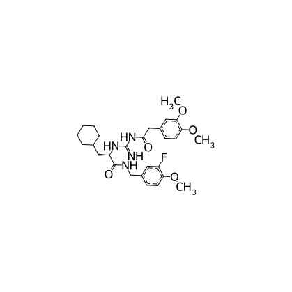 COc1ccc(CNC(=O)[C@@H](CC2CCCCC2)NC(=N)NC(=O)Cc2ccc(OC)c(OC)c2)cc1F